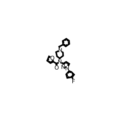 O=C(c1ccco1)N(c1ccn(-c2ccc(F)cc2)n1)C1CCN(Cc2ccccc2)CC1